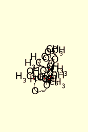 COC1C(O)=CO[C@@H](OC[C@H]2/C=C(C)/C=C/C(=O)[C@H](C)C[C@@H]3CCOC/C=C/CO[C@H](CC(=O)O[C@@H]2I)[C@H](C)[C@H]3O[C@@H]2OC(C)[C@@H](O)C(N(C)C)C2O)C1OC